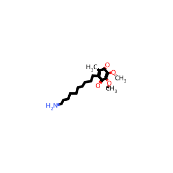 COC1=C(OC)C(=O)C(CCCCCCCCCCN)=C(C)C1=O